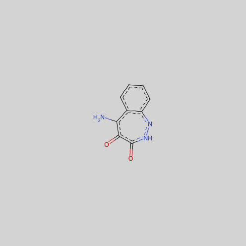 Nc1c(=O)c(=O)[nH]nc2ccccc12